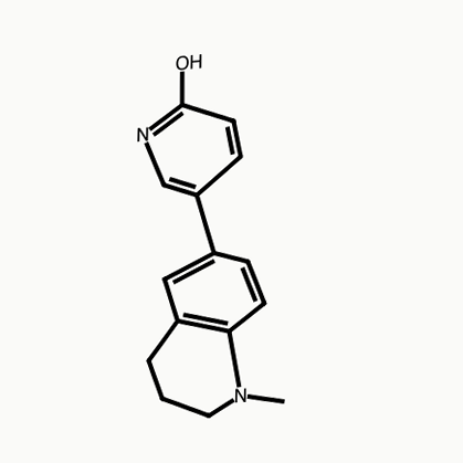 CN1CCCc2cc(-c3ccc(O)nc3)ccc21